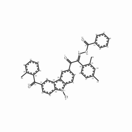 CCn1c2ccc(C(=O)/C(=N/OC(=O)c3ccccc3)c3ccc(C)cc3C)cc2c2cc(C(=O)c3ccccc3C)ccc21